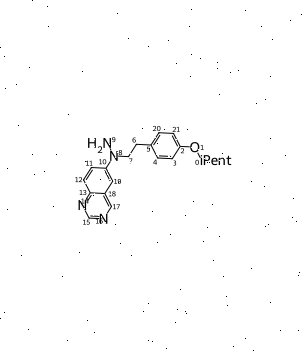 CCCC(C)Oc1ccc(CCN(N)c2ccc3ncncc3c2)cc1